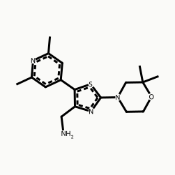 Cc1cc(-c2sc(N3CCOC(C)(C)C3)nc2CN)cc(C)n1